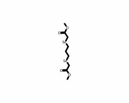 COC(=O)C[Se]CCC[Se]CC(=O)OC